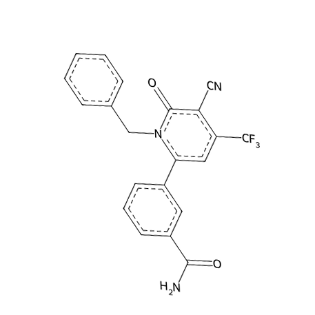 N#Cc1c(C(F)(F)F)cc(-c2cccc(C(N)=O)c2)n(Cc2ccccc2)c1=O